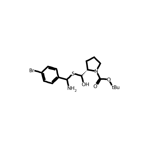 CC(C)(C)OC(=O)N1CCC[C@H]1C(O)SC(N)c1ccc(Br)cc1